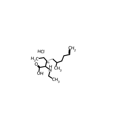 C=CCCC(C)C[C@@H](CC)C(NCC)C(=O)O.Cl